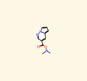 CN(C)OC(=O)c1cnn2cccc2c1